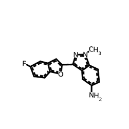 Cn1nc(-c2cc3cc(F)ccc3o2)c2cc(N)ccc21